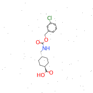 O=C(NC[C@H]1CC[C@H](C(=O)O)CC1)OCc1cccc(Cl)c1